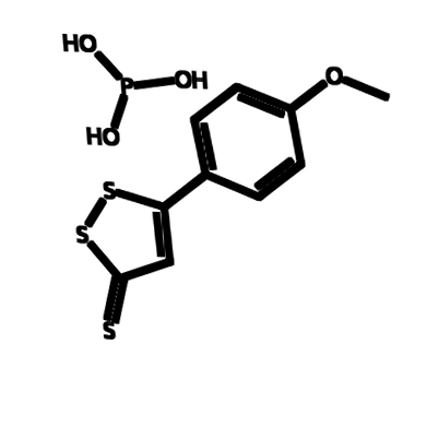 COc1ccc(-c2cc(=S)ss2)cc1.OP(O)O